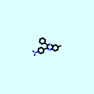 Cc1ccc2nc(-c3ccc(N(C)C)cc3)c(-c3ccccc3)nc2c1